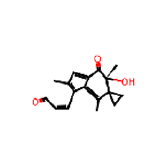 CC1=C(/C=C\C=O)C2=C(C)C3(CC3)[C@@](C)(O)C(=O)C2=C1